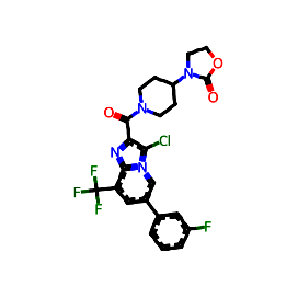 O=C(c1nc2c(C(F)(F)F)cc(-c3cccc(F)c3)cn2c1Cl)N1CCC(N2CCOC2=O)CC1